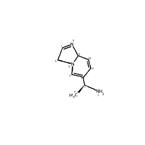 C[C@H](N)C1=CN2CC=NC2C=C1